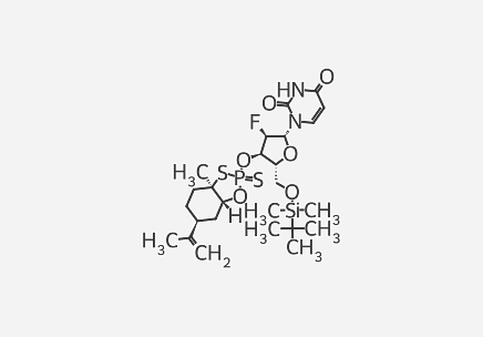 C=C(C)[C@H]1CC[C@@]2(C)SP(=S)(O[C@H]3[C@@H](F)[C@H](n4ccc(=O)[nH]c4=O)O[C@@H]3CO[Si](C)(C)C(C)(C)C)O[C@@H]2C1